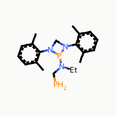 CCN(CP)P1N(c2c(C)cccc2C)CN1c1c(C)cccc1C